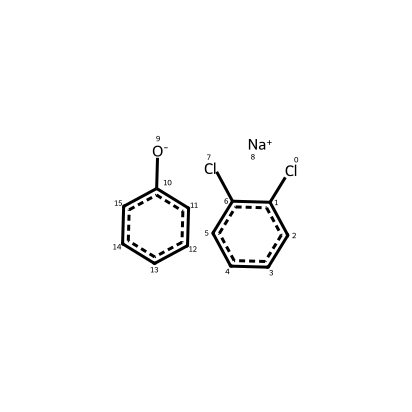 Clc1ccccc1Cl.[Na+].[O-]c1ccccc1